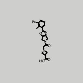 Cc1c(Br)cccc1-c1nc2c(o1)CN(C(=O)CN1CC(C(=O)O)C1)C2